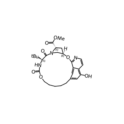 COC(=O)[C@@H]1C[C@@H]2CN1C(=O)[C@H](C(C)(C)C)NC(=O)OCCCCCc1cc(O)c3ccnc(c3c1)O2